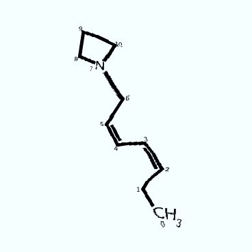 CC/C=C\C=C/CN1CCC1